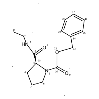 [CH2]CNC(=O)[C@@H]1CCCN1C(=O)OCc1ccccc1